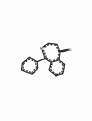 O=c1ccnc(-c2ccccc2)c2ccccc12